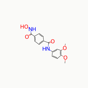 COc1ccc(NC(=O)c2ccc(C(=O)NO)cc2)cc1OC